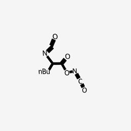 CCCCC(N=C=O)C(=O)ON=C=O